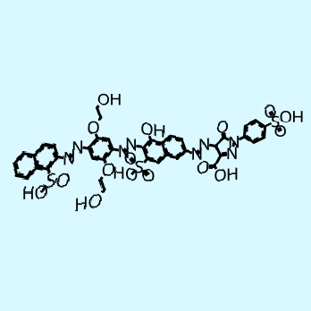 O=C(O)C1=NN(c2ccc(S(=O)(=O)O)cc2)C(=O)C1/N=N/c1ccc2c(O)c(/N=N/c3cc(OCCO)c(/N=N/c4ccc5ccccc5c4S(=O)O)cc3OCCO)c(S(=O)(=O)O)cc2c1